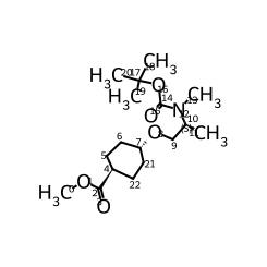 COC(=O)[C@H]1CC[C@H](OC[C@H](C)N(C)C(=O)OC(C)(C)C)CC1